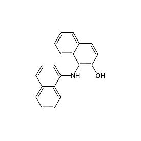 Oc1ccc2ccccc2c1Nc1cccc2ccccc12